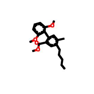 CCCCCc1cc(C(=O)OC)c(-c2c(OC)cccc2OC)cc1C